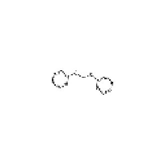 [CH](Sc1ccccc1)Sc1ccccc1